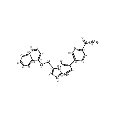 COC(=O)c1ccc(-c2cnc3nnc(COc4ccnc5ccccc45)n3n2)cc1